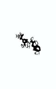 COc1ccc2c(c1)CC(C(=O)Nc1ccc(-c3c[nH]nc3C)cc1C(=O)N(C)C)CO2